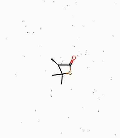 C[C@H]1C(=O)SC1(C)C